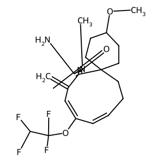 C=C1/C=C(OC(F)(F)C(F)F)\C=C/CCC2(CCC(OC)CC2)C12N=C(N)N(C)C2=O